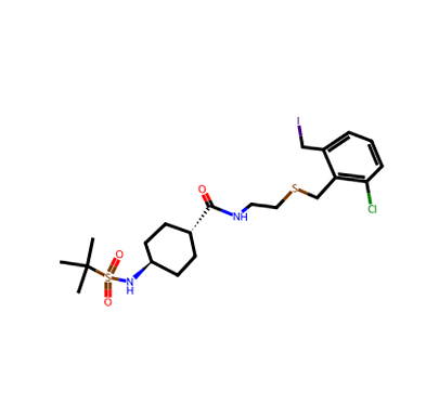 CC(C)(C)S(=O)(=O)N[C@H]1CC[C@H](C(=O)NCCSCc2c(Cl)cccc2CI)CC1